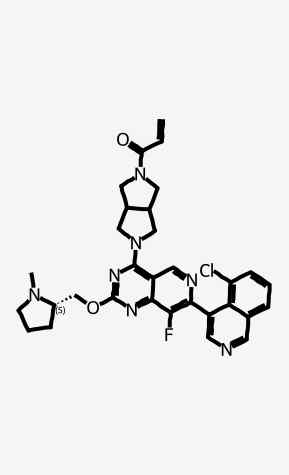 C=CC(=O)N1CC2CN(c3nc(OC[C@@H]4CCCN4C)nc4c(F)c(-c5cncc6cccc(Cl)c56)ncc34)CC2C1